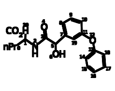 CCCC(NC(=O)C(O)c1cccc(Oc2ccccc2)c1)C(=O)O